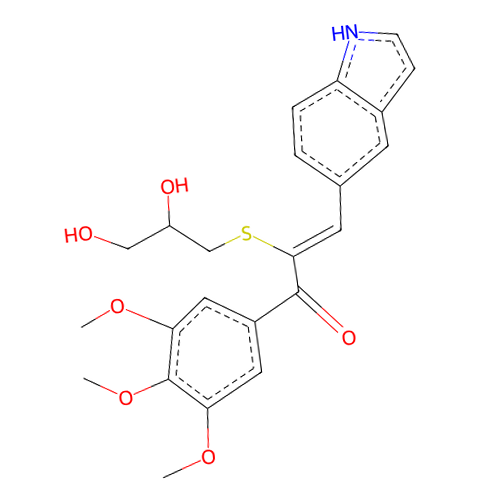 COc1cc(C(=O)C(=Cc2ccc3[nH]ccc3c2)SCC(O)CO)cc(OC)c1OC